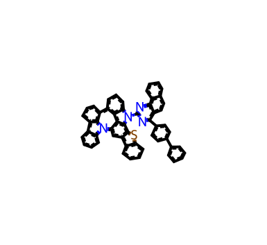 c1ccc(-c2ccc(-c3nc(-n4c5cccc6c7cccc8c9ccccc9n(c9cc%10c%11ccccc%11sc%10c4c9c65)c78)nc4c3ccc3ccccc34)cc2)cc1